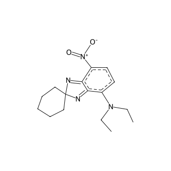 CCN(CC)c1ccc([N+](=O)[O-])c2c1=NC1(CCCCC1)N=2